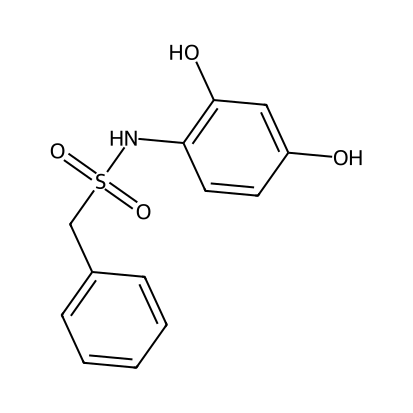 O=S(=O)(Cc1ccccc1)Nc1ccc(O)cc1O